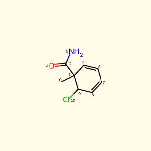 [CH2]C1(C(N)=O)C=CC=CC1Cl